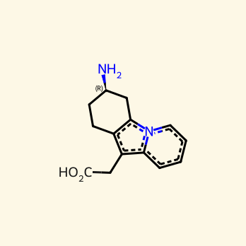 N[C@@H]1CCc2c(CC(=O)O)c3ccccn3c2C1